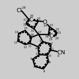 N#Cc1cc2c(c3ccccc13)-c1ccccc1C21c2ccccc2Oc2cc(Cl)ccc21